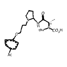 CC(=O)c1ccc(OCCCN2CCCC2NC(=O)[C@H](C)N(C(=O)O)C(C)(C)C)cc1